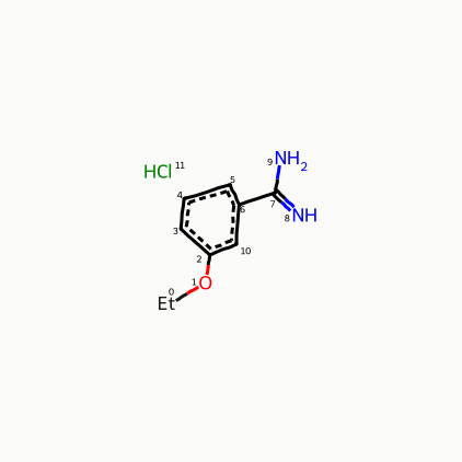 CCOc1cccc(C(=N)N)c1.Cl